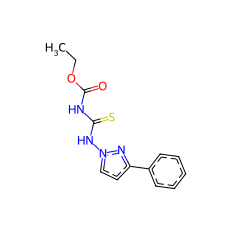 CCOC(=O)NC(=S)Nn1ccc(-c2ccccc2)n1